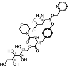 CC(C)C[C@H](N)B(OCc1ccccn1)Oc1ccc(C[C@H](NC(=O)N2CCOCC2)C(=O)OC[C@@H](O)[C@@H](O)[C@H](O)[C@H](O)CO)cc1